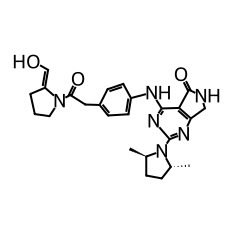 C[C@@H]1CC[C@@H](C)N1c1nc2c(c(Nc3ccc(CC(=O)N4CCC/C4=C\O)cc3)n1)C(=O)NC2